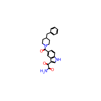 NC(=O)C(=O)c1c[nH]c2ccc(C(=O)N3CCC(Cc4ccccc4)CC3)cc12